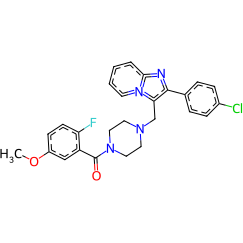 COc1ccc(F)c(C(=O)N2CCN(Cc3c(-c4ccc(Cl)cc4)nc4ccccn34)CC2)c1